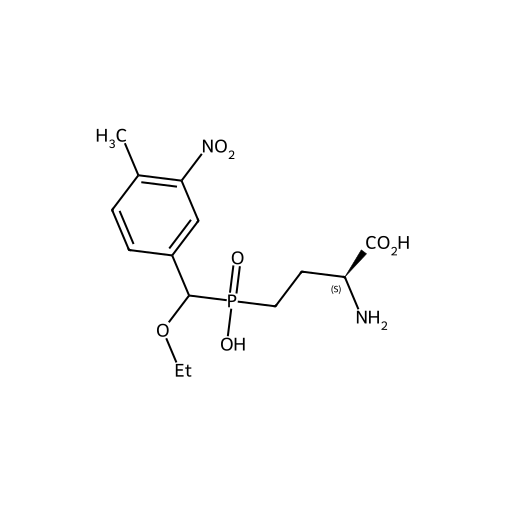 CCOC(c1ccc(C)c([N+](=O)[O-])c1)P(=O)(O)CC[C@H](N)C(=O)O